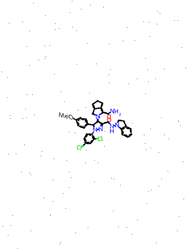 COc1ccc(C2C(N3CC4CCCC4C3C(N)=O)C(C(=O)NN3CCc4ccccc43)=NN2c2ccc(Cl)cc2Cl)cc1